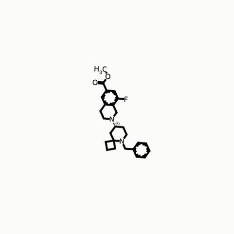 COC(=O)c1cc(F)c2c(c1)CCN([C@@H]1CCN(Cc3ccccc3)C3(CCC3)C1)C2